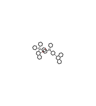 c1ccc(N(c2ccc(-c3c([Si](c4ccccc4)(c4ccccc4)c4ccccc4)ccc4ccccc34)cc2)c2ccc(-c3cc4ccccc4c4ccccc34)cc2)cc1